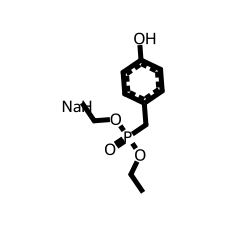 CCOP(=O)(Cc1ccc(O)cc1)OCC.[NaH]